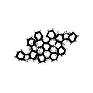 Fc1ccccc1-c1c(C2CCCCC2)c(-n2c3ccccc3c3c4c(ccc32)oc2ccccc24)c(C2CCCCC2)c(-c2ccccc2F)c1-n1c2ccccc2c2c3c(ccc21)oc1ccccc13